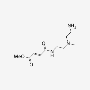 COC(=O)/C=C/C(=O)NCCN(C)CCN